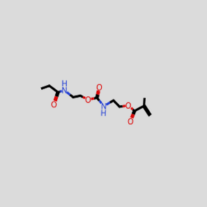 C=C(C)C(=O)OCCNC(=O)OCCNC(=O)CC